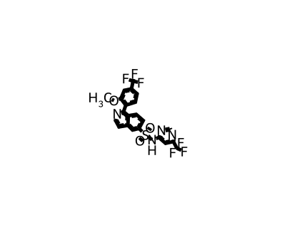 COc1cc(C(F)(F)F)ccc1-c1nccc2cc(S(=O)(=O)Nc3cc(C(F)(F)F)ncn3)ccc12